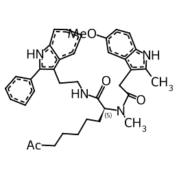 COc1ccc2[nH]c(C)c(CC(=O)N(C)[C@@H](CCCCCC(C)=O)C(=O)NCCc3c(-c4ccccc4)[nH]c4ccccc34)c2c1